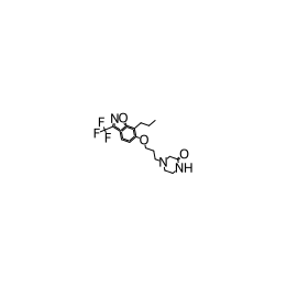 CCCc1c(OCCCN2CCNC(=O)C2)ccc2c(C(F)(F)F)noc12